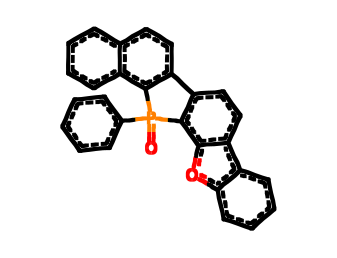 O=P1(c2ccccc2)c2c(ccc3ccccc23)-c2ccc3c(oc4ccccc43)c21